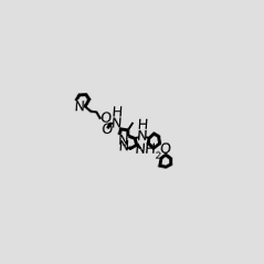 Cc1c(NC(=O)OCCCc2ccccn2)cn2ncc(N)c(Nc3ccc(Oc4ccccc4)cc3)c12